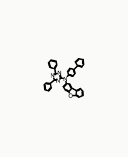 c1ccc(-c2ccc(N(c3ccc4oc5ccccc5c4c3)c3nc(-c4ccccc4)nc(-c4ccccc4)n3)cc2)cc1